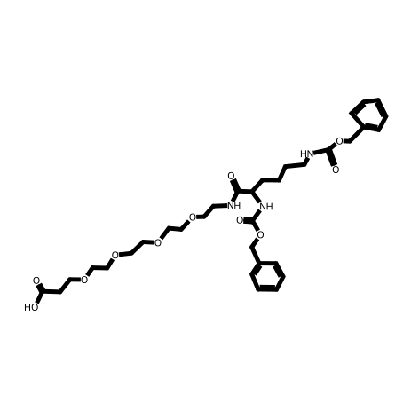 O=C(O)CCOCCOCCOCCOCCNC(=O)C(CCCCNC(=O)OCc1ccccc1)NC(=O)OCc1ccccc1